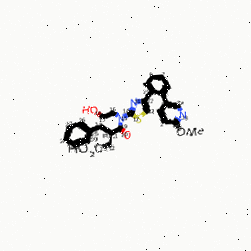 COc1ccc(-c2ccccc2-c2csc(N(CCO)C(=O)[C@@H](CC(=O)O)Cc3ccccc3)n2)cn1